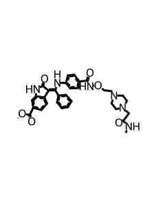 CNC(=O)CN1CCN(CCONC(=O)c2ccc(N/C(=C3\C(=O)Nc4cc(C(=O)OC)ccc43)c3ccccc3)cc2)CC1